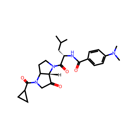 CC(C)C[C@H](NC(=O)c1ccc(N(C)C)cc1)C(=O)N1CCC2[C@H]1C(=O)CN2C(=O)C1CC1